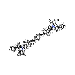 Cc1cc(C)cc(N(c2cccc(-c3ccccc3)c2)c2ccc3c(c2)C(C)(C)c2cc(/C=C/c4ccc(/C=C/c5ccc6c(c5)C(C)(C)c5cc(N(c7cc(C)cc(C)c7)c7cccc(-c8ccccc8)c7)ccc5-6)cc4)ccc2-3)c1